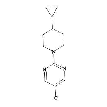 Clc1cnc(N2CCC(C3CC3)CC2)nc1